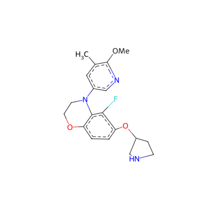 COc1ncc(N2CCOc3ccc(OC4CCNC4)c(F)c32)cc1C